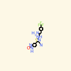 Cn1c(=O)[nH]c2ccc(-c3sc(NC[C@@H](N)Cc4ccc(C(F)(F)F)cc4)nc3C#N)cc21